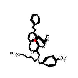 O=C(O)CCCCN(Cc1ccc(C(=O)O)cc1)CC(OCc1ccc(CCc2ccccc2)cc1)c1ccc(Cl)s1